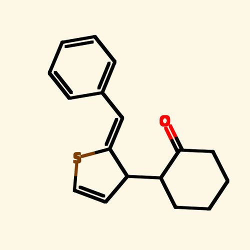 O=C1CCCCC1C1C=CSC1=Cc1ccccc1